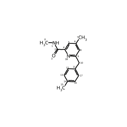 CNC(=O)c1cc(C)cc(Cc2ccc(C)cc2)n1